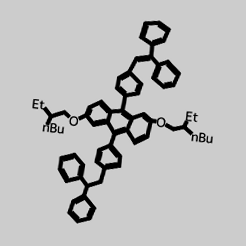 CCCCC(CC)COc1ccc2c(-c3ccc(CC(c4ccccc4)c4ccccc4)cc3)c3cc(OCC(CC)CCCC)ccc3c(-c3ccc(C=C(c4ccccc4)c4ccccc4)cc3)c2c1